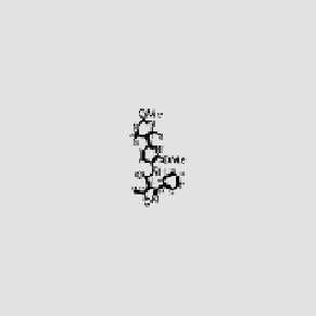 COc1nc(C)c(-c2ccc(NC(=O)c3c(-c4ccccc4)noc3C)c(OC)n2)c(C)n1